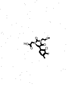 CSCCn1c(=O)c(-c2ccc(C)c(F)c2Cl)cn(CC(=O)O)c1=O